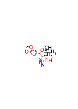 C[Si](C)(C)OC(c1ccc2c(c1)OCCO2)C(CO)N=[N+]=[N-]